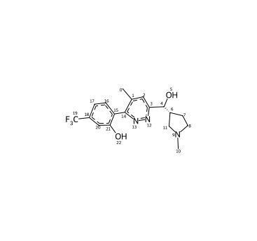 Cc1cc(C(O)[C@@H]2CCN(C)C2)nnc1-c1ccc(C(F)(F)F)cc1O